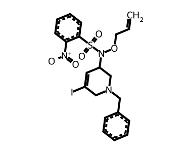 C=CCON(C1C=C(I)CN(Cc2ccccc2)C1)S(=O)(=O)c1ccccc1[N+](=O)[O-]